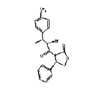 C[C@@H](c1ccc(C(F)(F)F)cc1)[C@@H](Br)C(=O)N1C(=O)OC[C@H]1c1ccccc1